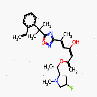 C=Cc1ccccc1C(C)(C)c1nc(/C(C)=C/C(O)=C\C(=C)O[C@@H](C)[C@@H]2C[C@@H](F)CN2C)no1